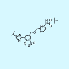 COc1c(-c2ncn(C(C)C)n2)cc(COCc2cccc(NC(=O)OC(C)(C)C)n2)cc1[N+](=O)[O-]